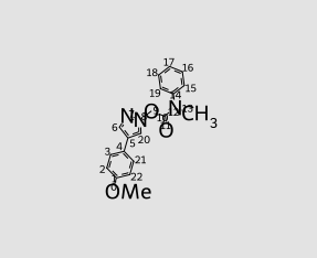 COc1ccc(-c2cnn(OC(=O)N(C)c3ccccc3)c2)cc1